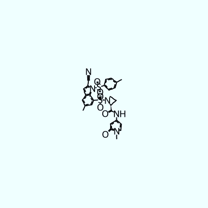 Cc1ccc(S(=O)(=O)n2c(C#N)cc3cc(C)cc(S(=O)(=O)N4CC[C@H]4C(=O)Nc4ccn(C)c(=O)c4)c32)cc1